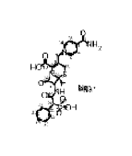 NC(=O)c1cc[n+](CC2=C(C(=O)O)N3C(=O)[C@@H](NC(=O)C(c4ccccc4)S(=O)(=O)O)[C@H]3SC2)cc1.[Na+].[Na+]